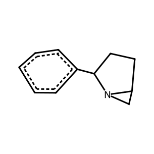 c1ccc(C2CCC3CN32)cc1